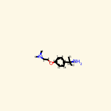 CN(C)CCOc1ccc(C(C)(C)N)cc1